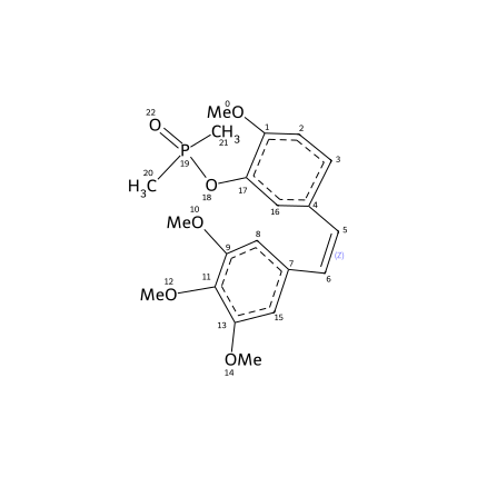 COc1ccc(/C=C\c2cc(OC)c(OC)c(OC)c2)cc1OP(C)(C)=O